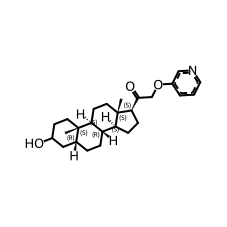 C[C@]12CCC(O)C[C@H]1CC[C@@H]1[C@@H]2CC[C@]2(C)[C@@H](C(=O)COc3cccnc3)CC[C@@H]12